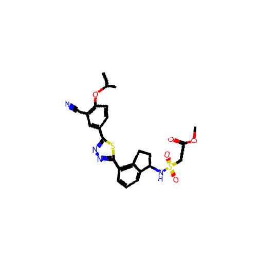 COC(=O)CS(=O)(=O)NC1CCc2c(-c3nnc(-c4ccc(OC(C)C)c(C#N)c4)s3)cccc21